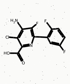 Nc1c(F)c(-c2cc(F)ccc2F)nc(C(=O)O)c1Cl